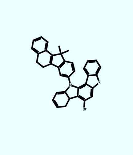 CC1(C)C2=C(CCc3ccccc32)c2cc(N3C4=CC=CCC4c4c(Br)cc5sc6ccccc6c5c43)ccc21